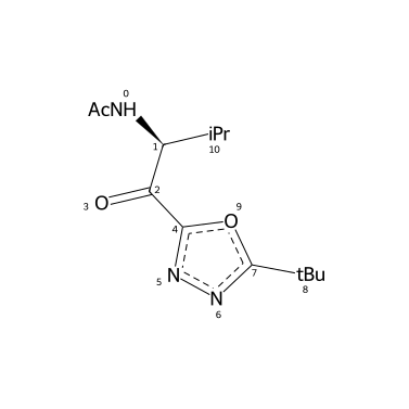 CC(=O)N[C@H](C(=O)c1nnc(C(C)(C)C)o1)C(C)C